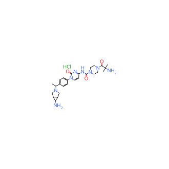 CC(c1ccc(-n2ccc(NC(=O)N3CCN(C(=O)C(C)(C)N)CC3)nc2=O)cc1)N1CC2C(N)C2C1.Cl